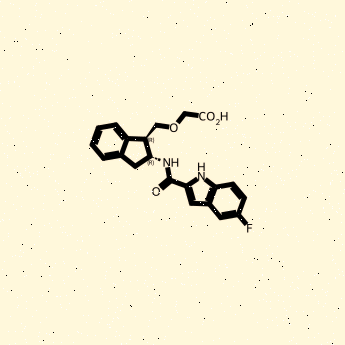 O=C(O)COC[C@@H]1c2ccccc2C[C@H]1NC(=O)c1cc2cc(F)ccc2[nH]1